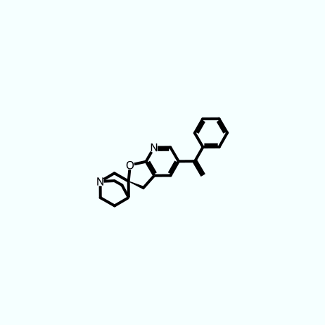 C=C(c1ccccc1)c1cnc2c(c1)C[C@@]1(CN3CCC1CC3)O2